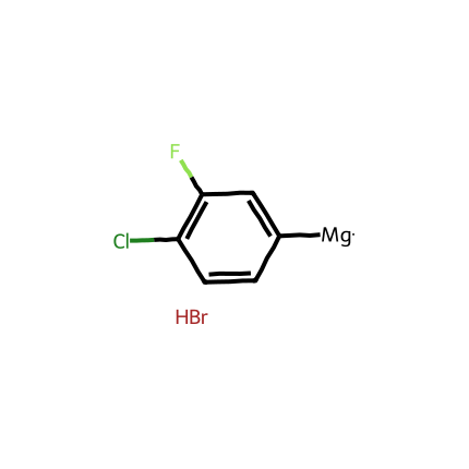 Br.Fc1c[c]([Mg])ccc1Cl